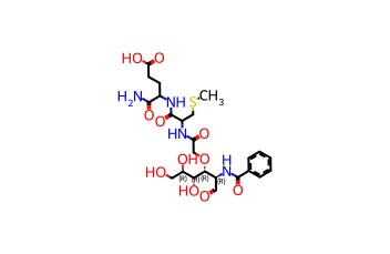 CSCC(NC(=O)CO[C@@H]([C@H](O)[C@H](O)CO)[C@H](C=O)NC(=O)c1ccccc1)C(=O)NC(CCC(=O)O)C(N)=O